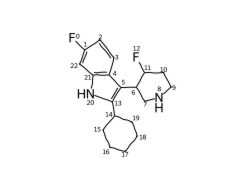 Fc1ccc2c(C3CNCCC3F)c(C3CCCCC3)[nH]c2c1